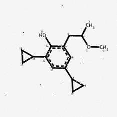 COC(C)Cc1cc(C2CC2)cc(C2CC2)c1O